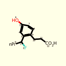 CCCC(F)c1cc(O)ccc1CCC(=O)O